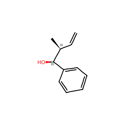 C=C[C@H](C)[C@H](O)c1ccccc1